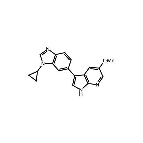 COc1cnc2[nH]cc(-c3ccc4ncn(C5CC5)c4c3)c2c1